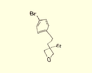 CCC1(CCc2ccc(Br)cc2)COC1